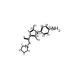 C=C(CN1CCCC1)c1cc(C)n(-c2ccc(N)cc2)c1C